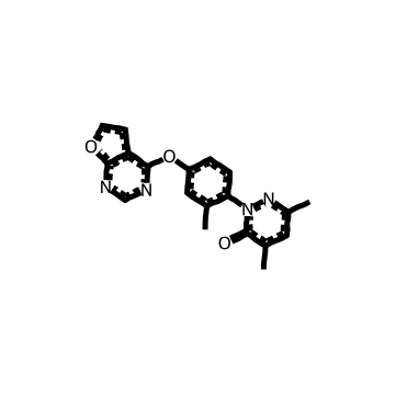 Cc1cc(C)c(=O)n(-c2ccc(Oc3ncnc4occc34)cc2C)n1